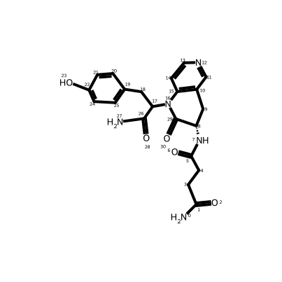 NC(=O)CCC(=O)N[C@H]1Cc2cnccc2N(C(Cc2ccc(O)cc2)C(N)=O)C1=O